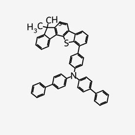 CC1(C)c2ccccc2-c2c1ccc1c2sc2c(-c3ccc(N(c4ccc(-c5ccccc5)cc4)c4ccc(-c5ccccc5)cc4)cc3)cccc21